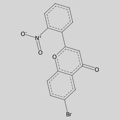 O=c1cc(-c2ccccc2[N+](=O)[O-])oc2ccc(Br)cc12